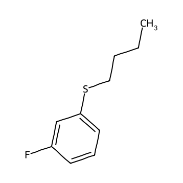 CCCCSc1cccc(F)c1